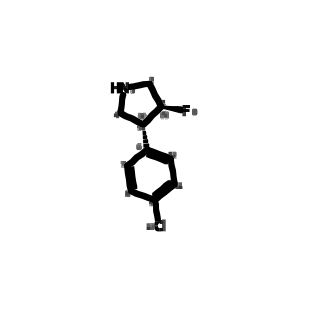 F[C@@H]1CNC[C@H]1c1ccc(Cl)cc1